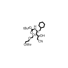 COCCOCO[C@H]([C@H](CC1CCCCC1)NC(=O)OC(C)(C)C)[C@@H](O)CC#N